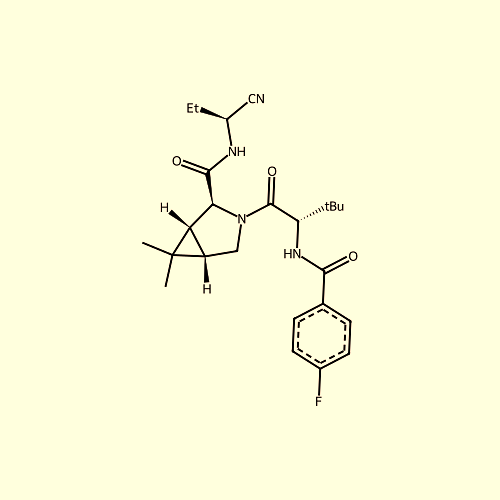 CC[C@@H](C#N)NC(=O)[C@@H]1[C@@H]2[C@H](CN1C(=O)[C@@H](NC(=O)c1ccc(F)cc1)C(C)(C)C)C2(C)C